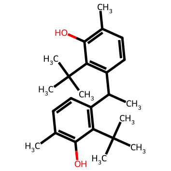 Cc1ccc(C(C)c2ccc(C)c(O)c2C(C)(C)C)c(C(C)(C)C)c1O